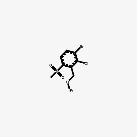 CC(C)OCc1c(S(C)(=O)=O)ccc(Br)c1Cl